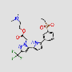 CCS(=O)(=O)c1cccc(-c2ccc(-c3cc(C(F)(F)F)nn3CC(=O)OCCN(C)C)[nH]2)c1